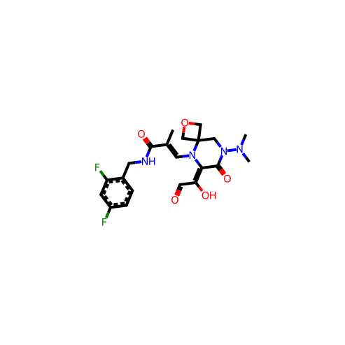 C/C(=C\N1/C(=C(/O)C=O)C(=O)N(N(C)C)CC12COC2)C(=O)NCc1ccc(F)cc1F